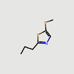 CCCc1ncc(SC)s1